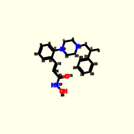 CC(CN1CCN(c2ccccc2C=CC(=O)NO)CC1)c1ccccc1